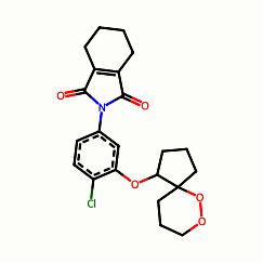 O=C1C2=C(CCCC2)C(=O)N1c1ccc(Cl)c(OC2CCCC23CCCOO3)c1